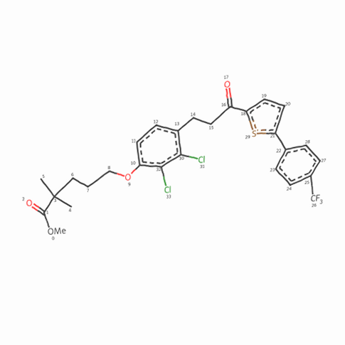 COC(=O)C(C)(C)CCCOc1ccc(CCC(=O)c2ccc(-c3ccc(C(F)(F)F)cc3)s2)c(Cl)c1Cl